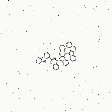 c1ccc2c(-n3c4ccccc4c4ccc5ccccc5c43)c3c4ccccc4n(-c4nc(-c5cccc6c5sc5ccccc56)nc5ccccc45)c3cc2c1